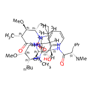 [2H]C([2H])([2H])C([2H])(C([2H])([2H])[2H])[C@]([2H])(NC(=O)[C@@H](NC)C(C)C)C(=O)N(C)[C@@H]([C@@H](C)CC)[C@@H](CC(=O)N1CCC[C@H]1[C@H](OC)[C@@H](C)C(=O)N[C@H](C)[C@@H](O)c1ccccc1)OC